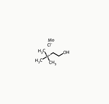 C[N+](C)(C)CCO.[Cl-].[Mo]